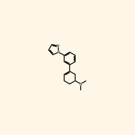 CN(C)C1CCC=C(c2cccc(-n3cccn3)c2)C1